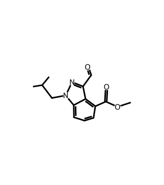 COC(=O)c1cccc2c1c(C=O)nn2CC(C)C